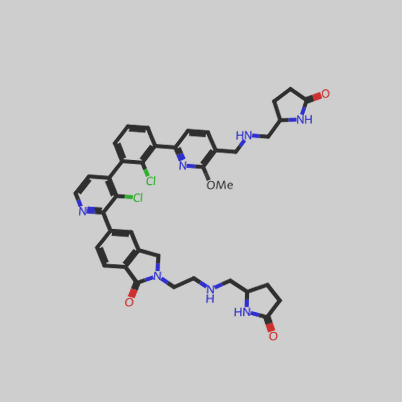 COc1nc(-c2cccc(-c3ccnc(-c4ccc5c(c4)CN(CCNCC4CCC(=O)N4)C5=O)c3Cl)c2Cl)ccc1CNCC1CCC(=O)N1